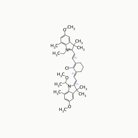 CC[N+]1=C(/C=C/C2=C(Cl)C(=C/C=C3\N(C(C)OC)c4c(C)cc(OC)cc4C3(C)C)/CCC2)C(C)(C)c2cc(OC)cc(C)c21